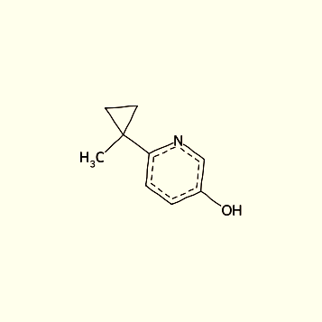 CC1(c2ccc(O)cn2)CC1